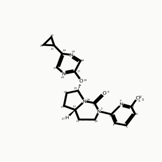 O=C1N(c2cccc(C(F)(F)F)n2)CC[C@@H]2CC[C@H](Oc3cnc(C4CC4)cn3)N12